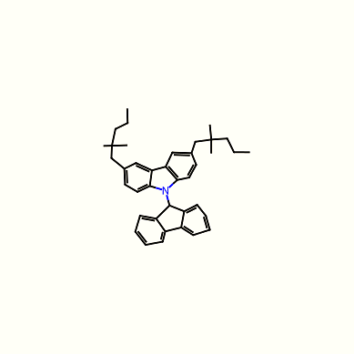 CCCC(C)(C)Cc1ccc2c(c1)c1cc(CC(C)(C)CCC)ccc1n2C1c2ccccc2-c2ccccc21